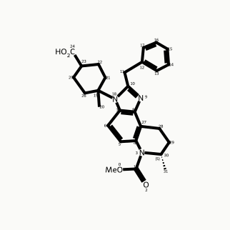 COC(=O)N1c2ccc3c(nc(Cc4ccccc4)n3C3(C)CCC(C(=O)O)CC3)c2CC[C@@H]1C